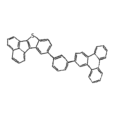 c1cc(-c2ccc3sc4c(c3c2)-c2cccc3cccc-4c23)cc(-c2ccc3c4ccccc4c4ccccc4c3c2)c1